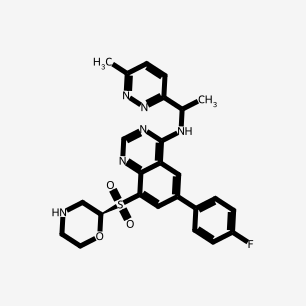 Cc1ccc(C(C)Nc2ncnc3c(S(=O)(=O)[C@@H]4CNCCO4)cc(-c4ccc(F)cc4)cc23)nn1